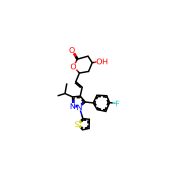 CC(C)c1nn(-c2cccs2)c(-c2ccc(F)cc2)c1C=CC1CC(O)CC(=O)O1